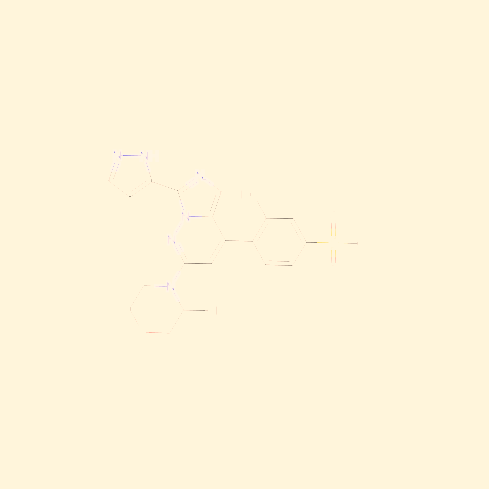 Cc1cc(S(C)(=O)=O)ccc1-c1cc(N2CCOCC2C)nn2c(-c3ccn[nH]3)ncc12